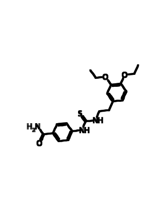 CCOc1ccc(CCNC(=S)Nc2ccc(C(N)=O)cc2)cc1OCC